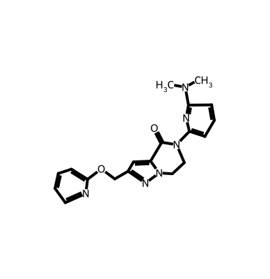 CN(C)c1cccc(N2CCn3nc(COc4ccccn4)cc3C2=O)n1